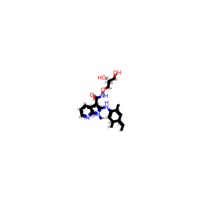 C/C=C1/C=C(C)C(Nc2c(C(=O)NOC[C@H](O)CO)c3cccnc3n2C)=CC1C